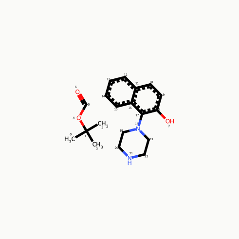 CC(C)(C)OC=O.Oc1ccc2ccccc2c1N1CCNCC1